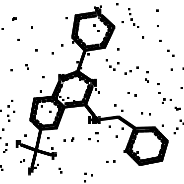 FC(F)(F)c1ccc2nc(-c3ccncc3)nc(NCc3ccccc3)c2c1